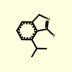 CC(C)c1cccc2c1C(F)=NC2